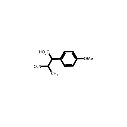 COc1ccc(C(C(=O)O)C(C)[N+](=O)[O-])cc1